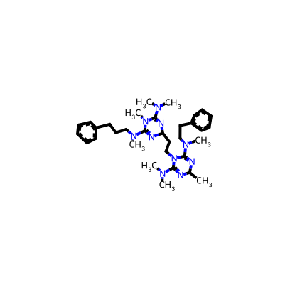 CC1N=C(N(C)C)N(CCC2N=C(N(C)C)N(C)C(N(C)CCCc3ccccc3)=N2)C(N(C)CCc2ccccc2)=N1